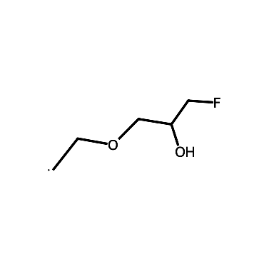 [CH2]COCC(O)CF